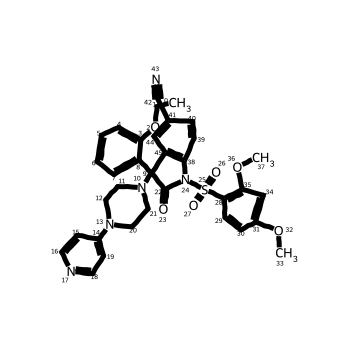 CCOc1ccccc1C1(N2CCN(c3ccncc3)CC2)C(=O)N(S(=O)(=O)c2ccc(OC)cc2OC)c2ccc(C#N)cc21